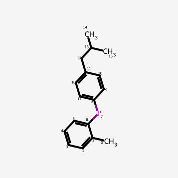 Cc1ccccc1[I+]c1ccc(CC(C)C)cc1